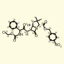 CC1(C)S[C@@H]2[C@H](NC(=O)C(NC(=O)OCCl)c3ccccc3)C(=O)N2[C@H]1C(=O)OCc1ccc([N+](=O)[O-])cc1